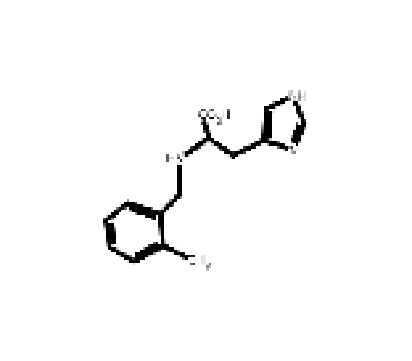 Cc1ccccc1CNC(Cc1c[nH]cn1)C(=O)O